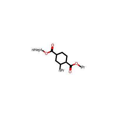 CCCCCCCOC(=O)C1CCC(C(=O)OC(C)C)C(CCC)C1